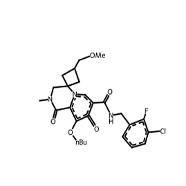 CCCCOc1c2n(cc(C(=O)NCc3cccc(Cl)c3F)c1=O)C1(CC(COC)C1)CN(C)C2=O